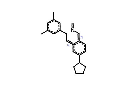 C=N/C=c1/ccc(C2CCCC2)c/c1=C/Cc1cc(C)cc(C)c1